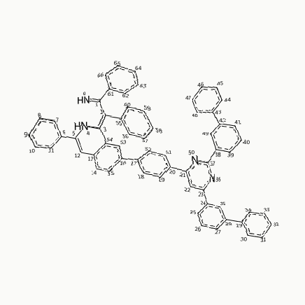 N=C(/C(=C1\NC(c2ccccc2)=Cc2ccc(-c3ccc(-c4cc(-c5cccc(-c6ccccc6)c5)nc(-c5cccc(-c6ccccc6)c5)n4)cc3)cc21)c1ccccc1)c1ccccc1